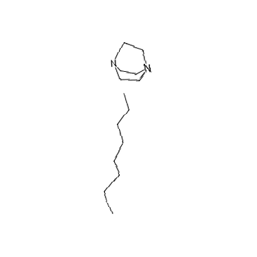 C1CN2CCN1CC2.CCCCCCCC